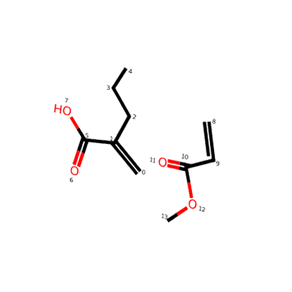 C=C(CCC)C(=O)O.C=CC(=O)OC